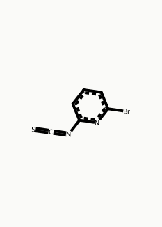 S=C=Nc1cccc(Br)n1